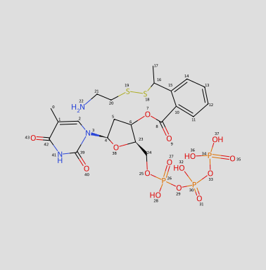 Cc1cn([C@H]2CC(OC(=O)c3ccccc3C(C)SSCCN)[C@@H](COP(=O)(O)OP(=O)(O)OP(=O)(O)O)O2)c(=O)[nH]c1=O